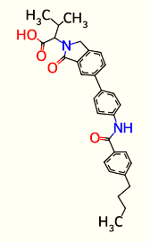 CCCCc1ccc(C(=O)Nc2ccc(-c3ccc4c(c3)C(=O)N(C(C(=O)O)C(C)C)C4)cc2)cc1